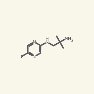 CC(C)(N)CNc1cnc(I)cn1